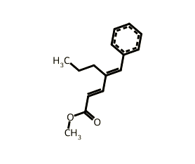 CCCC(/C=C/C(=O)OC)=C\c1ccccc1